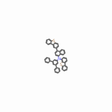 c1ccc(-c2cc(-c3ccccc3)cc(N(c3ccc(-c4ccc5sc6ccccc6c5c4)c4ccccc34)c3cccc4c3sc3ccccc34)c2)cc1